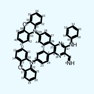 N=Cc1nc(-c2ccc(N3c4ccccc4Oc4ccccc43)cc2)c(-c2ccc(N3c4ccccc4Oc4ccccc43)cc2)nc1Nc1ccccc1